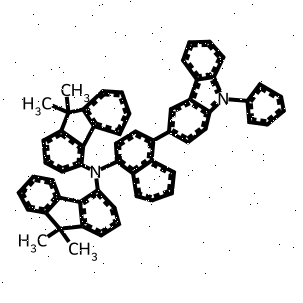 CC1(C)c2ccccc2-c2c(N(c3cccc4c3-c3ccccc3C4(C)C)c3ccc(-c4ccc5c(c4)c4ccccc4n5-c4ccccc4)c4ccccc34)cccc21